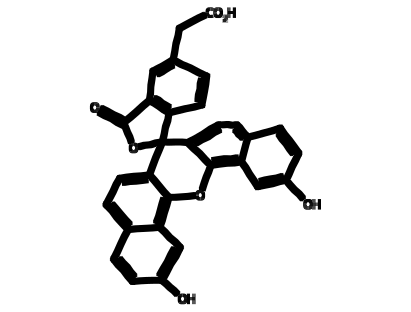 O=C(O)Cc1ccc2c(c1)C(=O)OC21c2ccc3ccc(O)cc3c2Oc2c1ccc1ccc(O)cc21